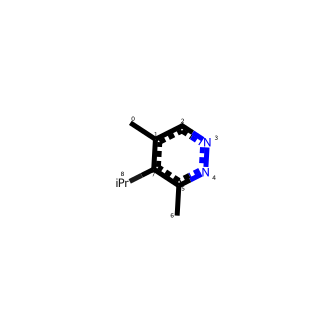 Cc1cnnc(C)c1C(C)C